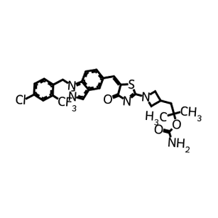 CC(C)(CC1CN(C2=NC(=O)C(=Cc3ccc4c(cnn4Cc4ccc(Cl)cc4C(F)(F)F)c3)S2)C1)OC(N)=O